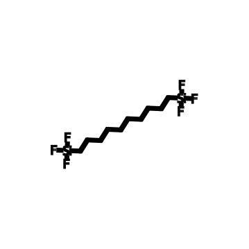 F[Si](F)(F)CCCCCCCCCC[Si](F)(F)F